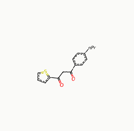 CCCc1ccc(C(=O)CC(=O)c2cccs2)cc1